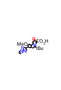 COc1cc2c(cc1-c1cnc(N3CCC3)nc1)CC(C(C)(C)C)n1cc(C(=O)O)c(=O)cc1-2